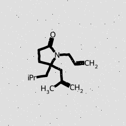 C=CCN1C(=O)CCC1(CC(=C)C)CC(C)C